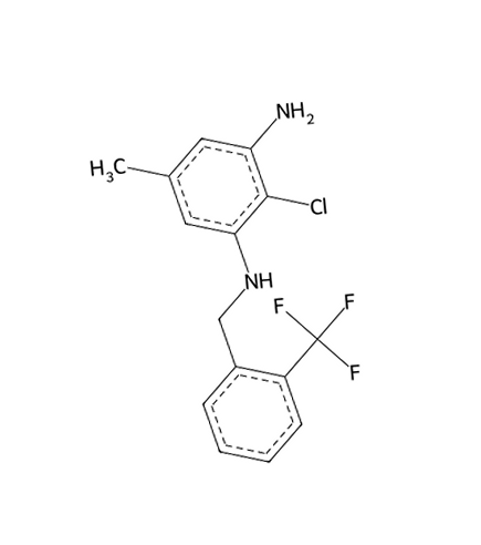 Cc1cc(N)c(Cl)c(NCc2ccccc2C(F)(F)F)c1